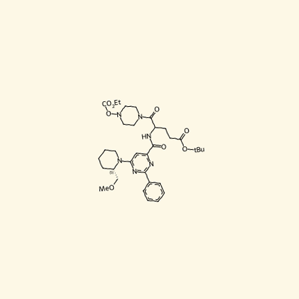 CCOC(=O)ON1CCN(C(=O)C(CCC(=O)OC(C)(C)C)NC(=O)c2cc(N3CCCC[C@H]3COC)nc(-c3ccccc3)n2)CC1